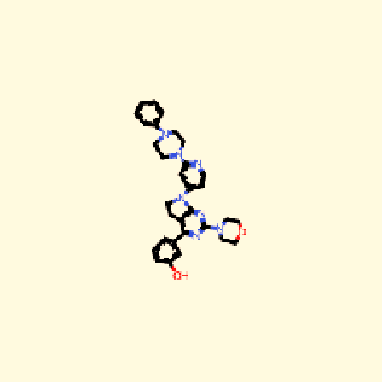 Oc1cccc(-c2nc(N3CCOCC3)nc3c2CCN3c2ccnc(N3CCN(c4ccccc4)CC3)c2)c1